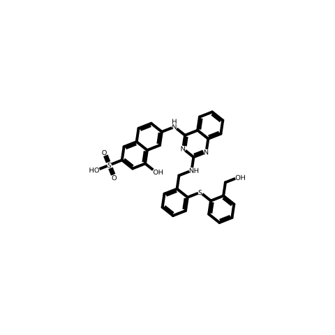 O=S(=O)(O)c1cc(O)c2cc(Nc3nc(NCc4ccccc4Sc4ccccc4CO)nc4ccccc34)ccc2c1